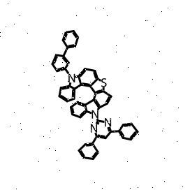 c1ccc(-c2cccc(-n3c4ccccc4c4c5c(ccc43)sc3ccc4c(c6ccccc6n4-c4nc(-c6ccccc6)cc(-c6ccccc6)n4)c35)c2)cc1